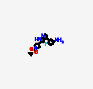 Nc1ccc(F)c(-c2ccnc3[nH]c(C4CCN(S(=O)(=O)C5CC5)CC4)cc23)c1